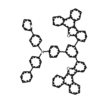 c1ccc(-c2ccc(N(c3ccc(-c4ccccc4)cc3)c3ccc(-c4cc(-c5cccc6c5oc5c7ccccc7c7ccccc7c65)cc(-c5cccc6c5oc5c7ccccc7c7ccccc7c65)c4)cc3)cc2)cc1